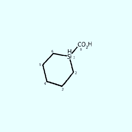 O=C(O)[SiH]1CCCCC1